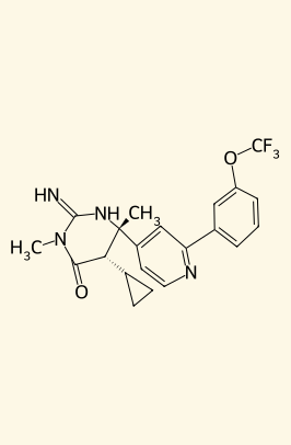 CN1C(=N)N[C@](C)(c2ccnc(-c3cccc(OC(F)(F)F)c3)c2)[C@H](C2CC2)C1=O